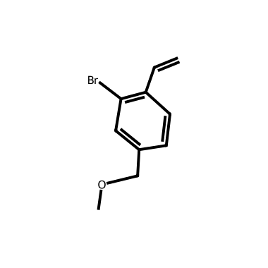 C=Cc1ccc(COC)cc1Br